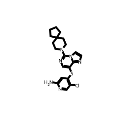 Nc1cc(Sc2cnc(N3CCC4(CCCC4)CC3)n3ccnc23)c(Cl)cn1